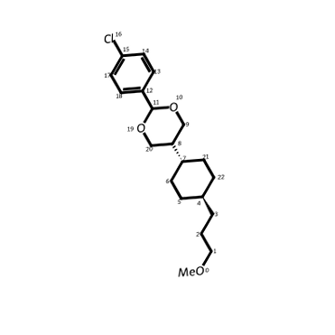 COCCC[C@H]1CC[C@H](C2COC(c3ccc(Cl)cc3)OC2)CC1